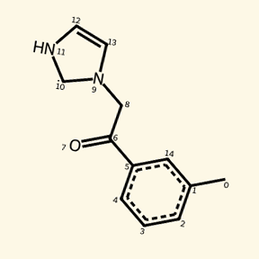 Cc1cccc(C(=O)CN2[CH]NC=C2)c1